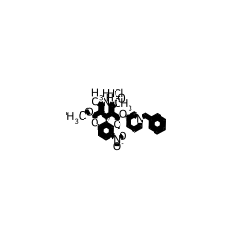 COC(=O)C1=C(C)NC(C)=C(C(=O)O[C@@H]2CCCN(Cc3ccccc3)C2)[C@@H]1c1cccc([N+](=O)[O-])c1.Cl.O